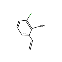 C=Cc1cccc(Cl)c1CCC